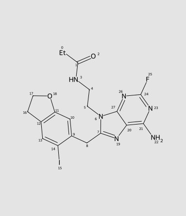 CCC(=O)NCCn1c(Cc2cc3c(cc2I)CCO3)nc2c(N)nc(F)nc21